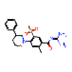 Cc1cc(N2CC(c3ccccc3)CCS2)c(S(C)(=O)=O)cc1C(=O)N=C(N)N